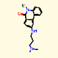 CCn1c(=O)c2ccc(NCCCN(C)C)cc2c2ccccc21